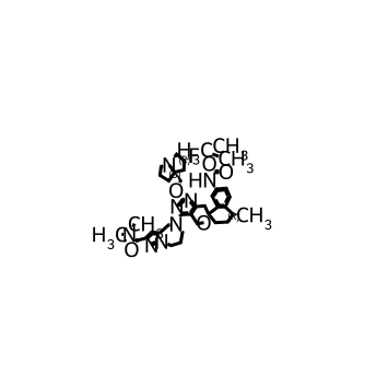 C[C@@H]1CCC2(Cc3nc(OC[C@@]45CCCN4C[C@H](F)C5)nc(N4CCCn5nc(C(=O)N(C)C)cc5C4)c3CO2)c2cc(NC(=O)OC(C)(C)C)ccc21